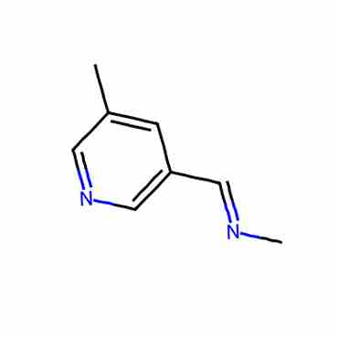 CN=Cc1cncc(C)c1